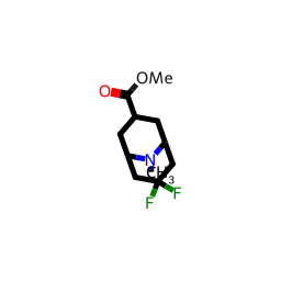 COC(=O)C1CC2CC(F)(F)CC(C1)N2C